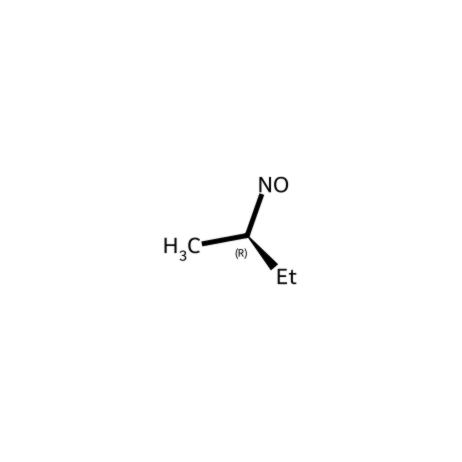 CC[C@@H](C)N=O